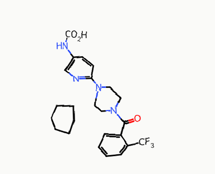 C1CCCCC1.O=C(O)Nc1ccc(N2CCN(C(=O)c3ccccc3C(F)(F)F)CC2)nc1